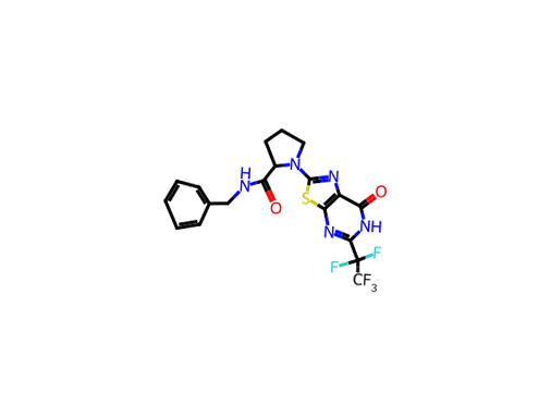 O=C(NCc1ccccc1)C1CCCN1c1nc2c(=O)[nH]c(C(F)(F)C(F)(F)F)nc2s1